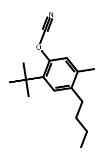 CCCCc1cc(C(C)(C)C)c(OC#N)cc1C